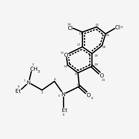 CCN(C)CCN(CC)C(=O)c1coc2c(Cl)cc(Cl)cc2c1=O